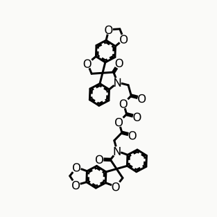 O=C(CN1C(=O)C2(COc3cc4c(cc32)OCO4)c2ccccc21)OC(=O)OC(=O)CN1C(=O)C2(COc3cc4c(cc32)OCO4)c2ccccc21